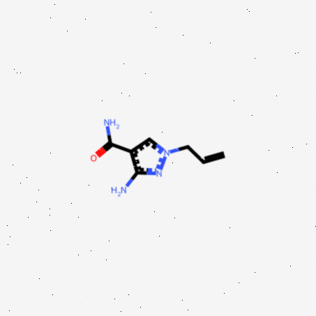 C=CCn1cc(C(N)=O)c(N)n1